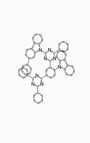 c1ccc(-c2ccc3c4ccccc4n(-c4nc(-c5ccccc5)nc(-c5cc(-c6nc(-c7ccccc7)nc(-c7ccccc7)n6)ccc5-n5c6ccccc6c6ccccc65)n4)c3c2)cc1